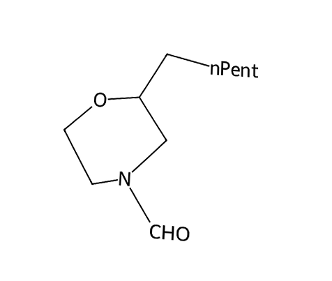 [CH2]CCCCCC1CN(C=O)CCO1